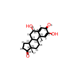 C[C@]12C=C(O)C(=O)C=C1[C@H](O)CC1C2CC[C@]2(C)C(=O)CCC12